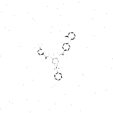 O=C(N[C@H]1CN(S(=O)(=O)c2ccccc2)C[C@H]1NC(=O)c1ccc(Cl)s1)c1ccc(-n2ccccc2=O)cc1